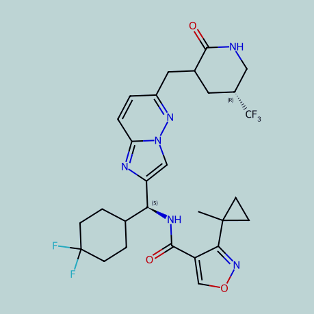 CC1(c2nocc2C(=O)N[C@H](c2cn3nc(CC4C[C@@H](C(F)(F)F)CNC4=O)ccc3n2)C2CCC(F)(F)CC2)CC1